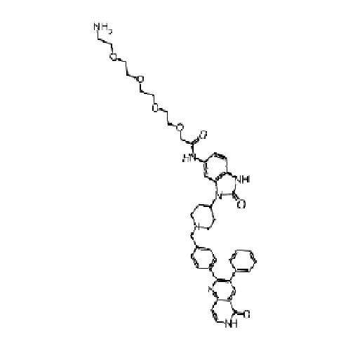 NCCOCCOCCOCCOCC(=O)Nc1ccc2[nH]c(=O)n(C3CCN(Cc4ccc(-c5nc6cc[nH]c(=O)c6cc5-c5ccccc5)cc4)CC3)c2c1